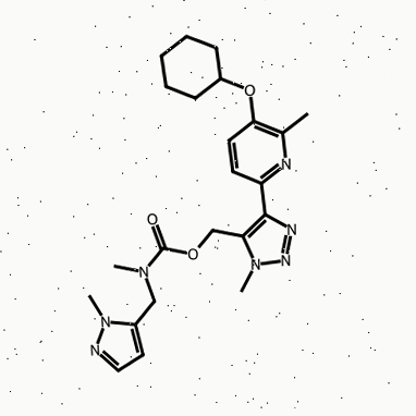 Cc1nc(-c2nnn(C)c2COC(=O)N(C)Cc2ccnn2C)ccc1OC1CCCCC1